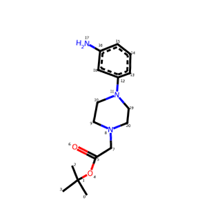 CC(C)(C)OC(=O)CN1CCN(c2cccc(N)c2)CC1